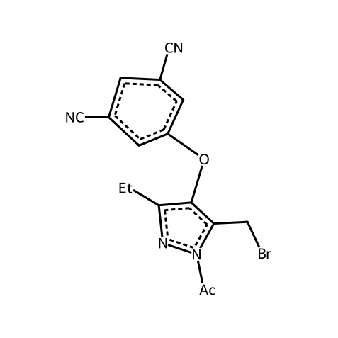 CCc1nn(C(C)=O)c(CBr)c1Oc1cc(C#N)cc(C#N)c1